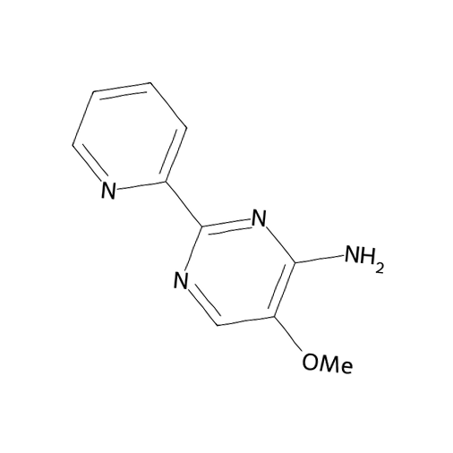 COc1cnc(-c2ccccn2)nc1N